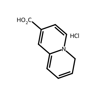 Cl.O=C(O)C1=CC2=CC=CCN2C=C1